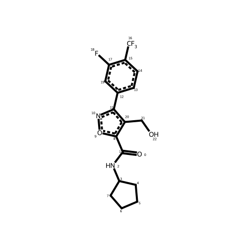 O=C(NC1CCCC1)c1onc(-c2ccc(C(F)(F)F)c(F)c2)c1CO